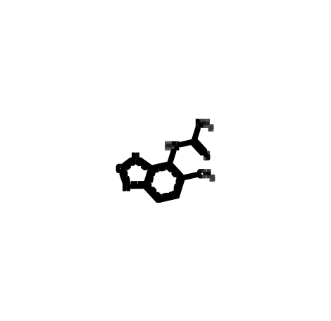 Cc1ccc2nonc2c1NC(N)=S